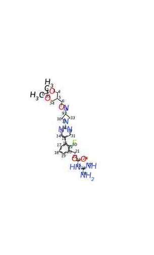 CC1(C)OCC(CON=C2CN(c3ncc(-c4cccc(COC(=O)NC(=N)N)c4F)cn3)C2)CO1